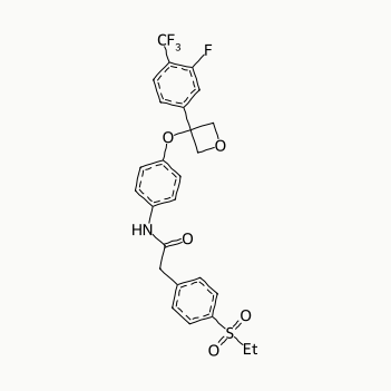 CCS(=O)(=O)c1ccc(CC(=O)Nc2ccc(OC3(c4ccc(C(F)(F)F)c(F)c4)COC3)cc2)cc1